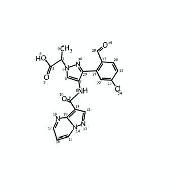 CC(C(=O)O)n1cc(NC(=O)c2cnn3cccnc23)c(-c2cc(Cl)ccc2C=O)n1